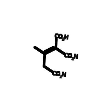 CC(CC(=O)O)=C(C(=O)O)C(=O)O